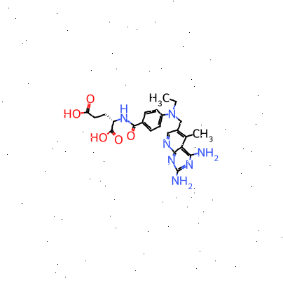 CCN(Cc1cnc2nc(N)nc(N)c2c1C)c1ccc(C(=O)N[C@@H](CCC(=O)O)C(=O)O)cc1